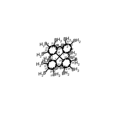 Bc1cc(B)c(C(c2c(B)c(B)c(B)c(B)c2B)(c2c(B)c(B)c(B)c(B)c2B)c2c(B)c(B)c(B)c(B)c2B)c(B)c1B